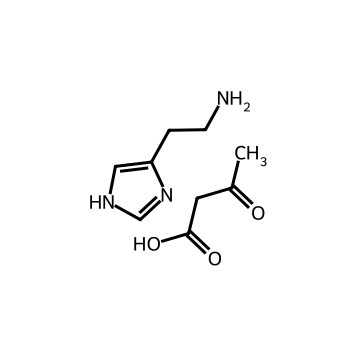 CC(=O)CC(=O)O.NCCc1c[nH]cn1